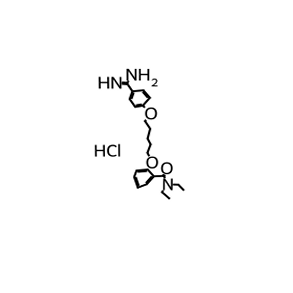 CCN(CC)C(=O)c1ccccc1OCCCCCOc1ccc(C(=N)N)cc1.Cl